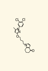 Cc1cc(OCCCCn2ccc3c2CCCC3=O)nn1-c1ccc(Cl)c(Cl)c1